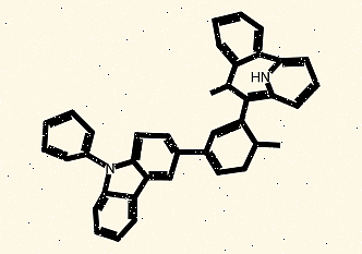 CC1CC=C(c2ccc3c(c2)c2ccccc2n3-c2ccccc2)C=C1C1=C2C=CC=C(N2)c2ccccc2C1C